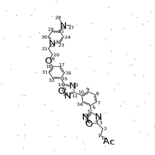 CC(=O)CCc1nc(-c2cccc(-c3noc(-c4ccc(OCC[n+]5ccc(N(C)C)cc5)cc4)n3)c2)no1